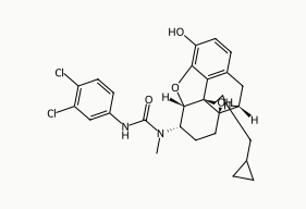 CN(C(=O)Nc1ccc(Cl)c(Cl)c1)[C@H]1CC[C@@]2(O)[C@H]3Cc4ccc(O)c5c4[C@@]2(CCN3CC2CC2)[C@H]1O5